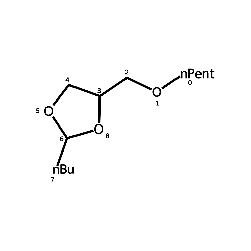 CCCCCOCC1COC(CCCC)O1